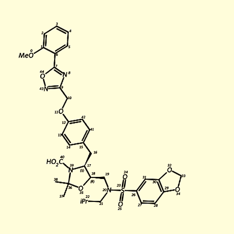 COc1ccccc1-c1nc(COc2ccc(C[C@H]3[C@@H](CN(CC(C)C)S(=O)(=O)c4ccc5c(c4)OCO5)OC(C)(C)N3C(=O)O)cc2)no1